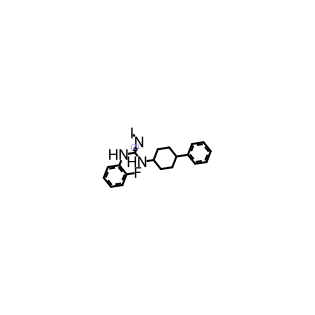 Fc1ccccc1N/C(=N\I)NC1CCC(c2ccccc2)CC1